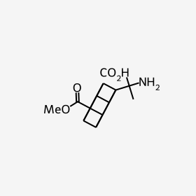 COC(=O)C12C3C4C1C1C2C3C41C(C)(N)C(=O)O